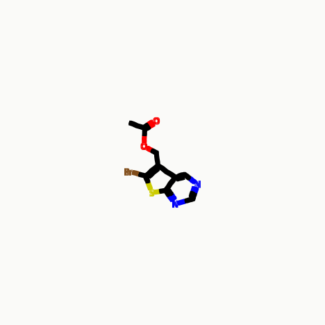 CC(=O)OCc1c(Br)sc2ncncc12